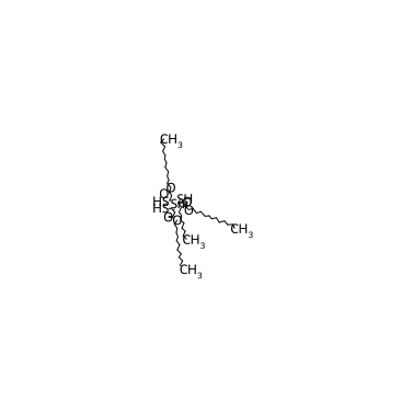 CCCCCCCCCCCCOC(=O)C[CH](S)[Sn]([CH](S)CC(=O)OCCCCCCCCCCCC)[CH](S)C(CCCCCCCC)C(=O)OCCCCCCCCCCCC